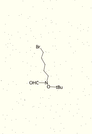 CC(C)(C)ON(C=O)CCCCCBr